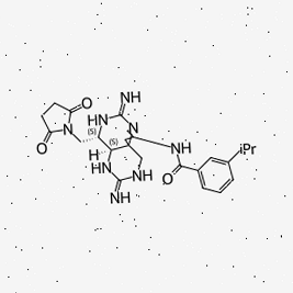 CC(C)c1cccc(C(=O)NC2CN3C(=N)N[C@@H](CN4C(=O)CCC4=O)[C@@H]4NC(=N)NCC43C2)c1